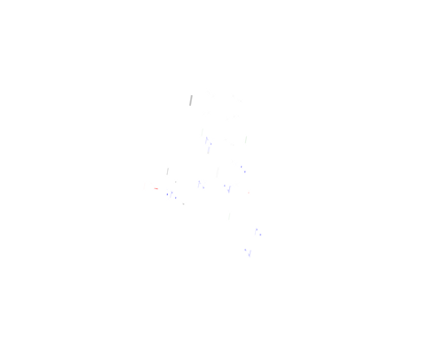 O[C@@H]1C[C@@H]2CN(c3nc(OCCn4ccnc4C(F)F)nc4c(F)c(-c5cccc6cccc(Cl)c56)ncc34)C[C@H]1N2